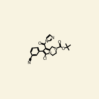 CC(C)(C)OC(=O)N1CCn2c(Cl)c(-c3cccc(C#N)c3)c(C(=O)n3ccnc3)c2C1